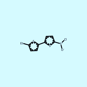 CCc1ccc(-c2ccc([S+]([O-])Cl)s2)s1